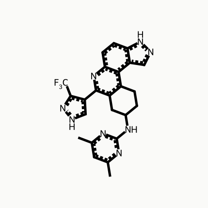 Cc1cc(C)nc(NC2CCc3c(c(-c4c[nH]nc4C(F)(F)F)nc4ccc5[nH]ncc5c34)C2)n1